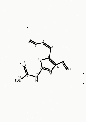 C=C/C=C\c1sc(NC(=O)C(C)(C)C)nc1C=C